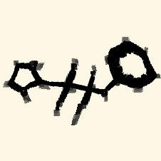 FC(F)(Oc1ccccc1)C(F)(F)C1OCCO1